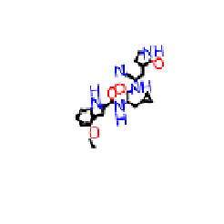 CCOc1cccc2[nH]c(C(=O)NC(CC3CC3)C(=O)NC(C#N)CC3CCNC3=O)cc12